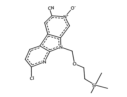 C[Si](C)(C)CCOCn1c2c[n+]([O-])c(C#N)cc2c2ccc(Cl)nc21